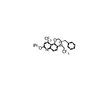 CC(C)Oc1cc(C(F)(F)F)c2c3c(ccc2n1)N(CC(F)(F)F)[C@H](Cc1ccccc1)CO3